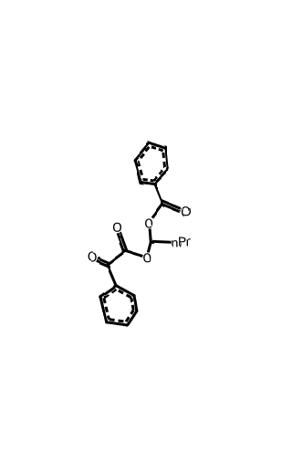 CCCC(OC(=O)C(=O)c1ccccc1)OC(=O)c1ccccc1